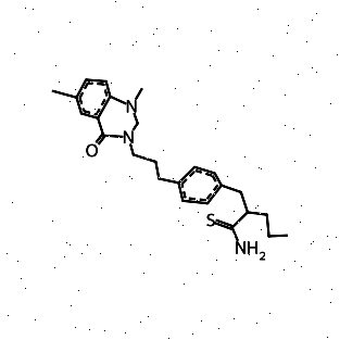 CCCC(Cc1ccc(CCCN2CN(C)c3ccc(C)cc3C2=O)cc1)C(N)=S